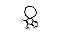 Cc1c2c(c3nsnc3c1C)CCCCCCCC2